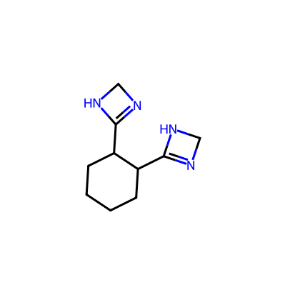 C1CCC(C2=NCN2)C(C2=NCN2)C1